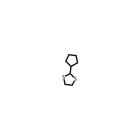 C1CC[C](C2SCCS2)C1